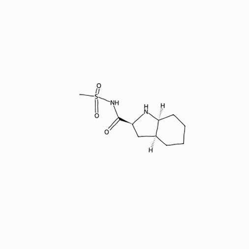 CS(=O)(=O)NC(=O)[C@@H]1C[C@@H]2CCCC[C@@H]2N1